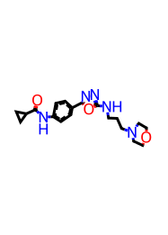 O=C(Nc1ccc(-c2nnc(NCCCN3CCOCC3)o2)cc1)C1CC1